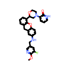 COc1ncc(CNc2ccc3c(c2)Cc2cccc(C4CN(c5ccc[nH]c5=O)CCO4)c2O3)cc1F